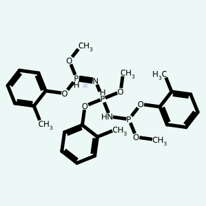 COP(N[PH](/N=[PH](/OC)Oc1ccccc1C)(OC)Oc1ccccc1C)Oc1ccccc1C